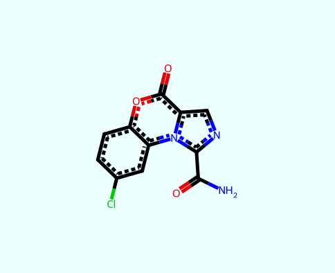 NC(=O)c1ncc2c(=O)oc3ccc(Cl)cc3n12